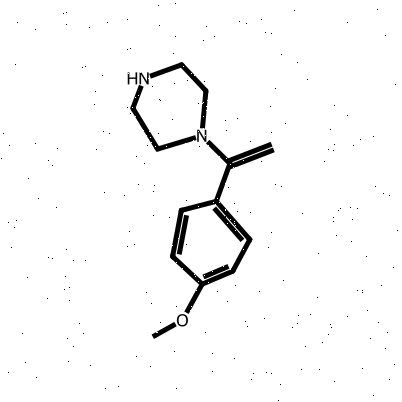 C=C(c1ccc(OC)cc1)N1CCNCC1